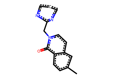 Cc1ccc2c(=O)n(Cc3ncccn3)ccc2c1